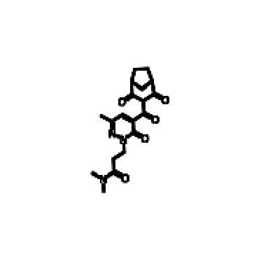 Cc1cc(C(=O)C2C(=O)C3CCC(C3)C2=O)c(=O)n(CCC(=O)N(C)C)n1